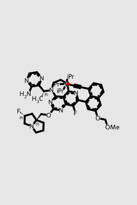 COCOc1cc(-c2nc3c4c(nc(OC[C@@]56CCCN5C[C@H](F)C6)nc4c2F)N([C@H](C)c2nccnc2N)CCO3)c2c(C#C[Si](C(C)C)(C(C)C)C(C)C)cccc2c1